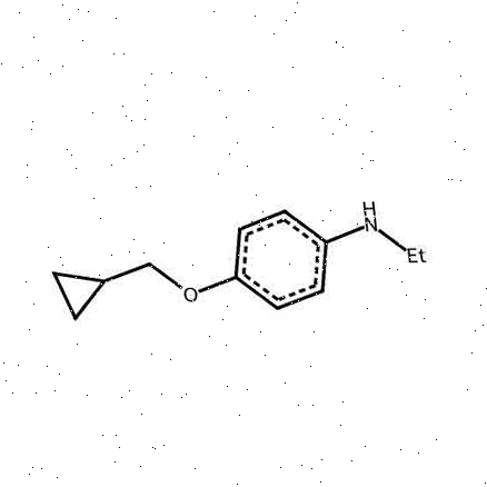 CCNc1ccc(OCC2CC2)cc1